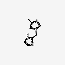 Cc1cn(Cc2ncc[nH]2)cn1